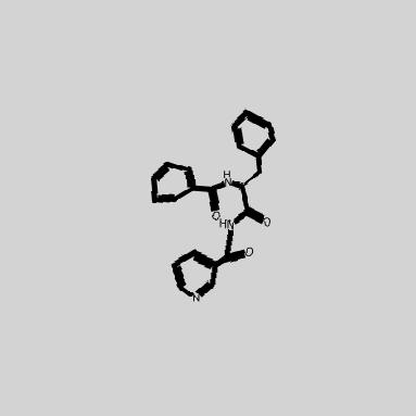 O=C(NC(=O)[C@H](Cc1ccccc1)NC(=O)c1ccccc1)c1cccnc1